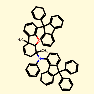 CC12C=CCC(C)(N(c3ccccc3)c3cccc4c3C3=C(C=CCC3)C4(c3ccccc3)c3ccccc3)C1Oc1c(C3(C4=CCCC=C4)c4ccccc4-c4ccccc43)cccc12